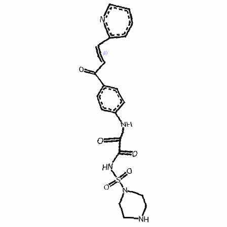 O=C(Nc1ccc(C(=O)/C=C/c2ccccn2)cc1)C(=O)NS(=O)(=O)N1CCNCC1